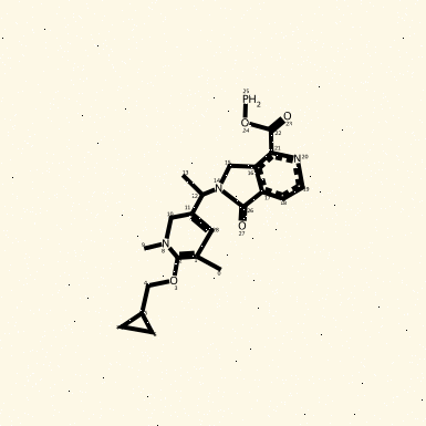 CC1=C(OCC2CC2)N(C)CC(C(C)N2Cc3c(ccnc3C(=O)OP)C2=O)=C1